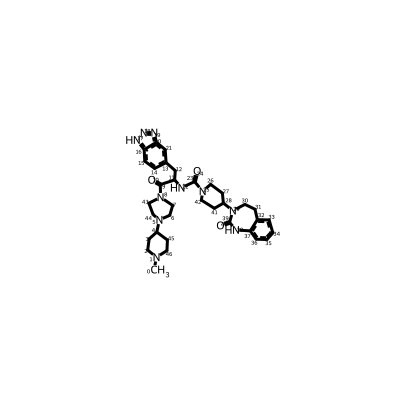 CN1CCC(N2CCN(C(=O)C(Cc3ccc4[nH]nnc4c3)NC(=O)N3CCC(N4CCc5ccccc5NC4=O)CC3)CC2)CC1